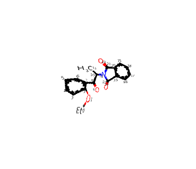 CCOc1ccccc1C(=O)C(C)N1C(=O)c2ccccc2C1=O